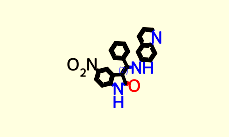 O=C1Nc2ccc([N+](=O)[O-])cc2/C1=C(/Nc1ccc2ncccc2c1)c1ccccc1